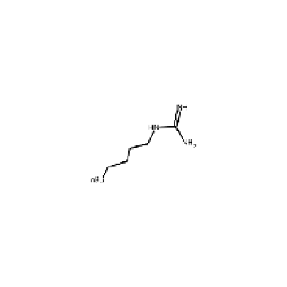 [CH2]CCCCCCCNC(=N)N